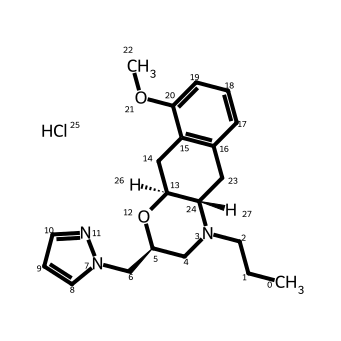 CCCN1C[C@@H](Cn2cccn2)O[C@H]2Cc3c(cccc3OC)C[C@@H]21.Cl